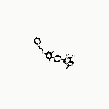 Cc1ncc2c(=O)[nH]c(N3CCN(c4c(F)cc(OCCN5CCCCC5)cc4F)CC3)cn12